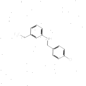 FC(F)(F)Cc1cccc(NCc2ccc(Cl)cc2)c1